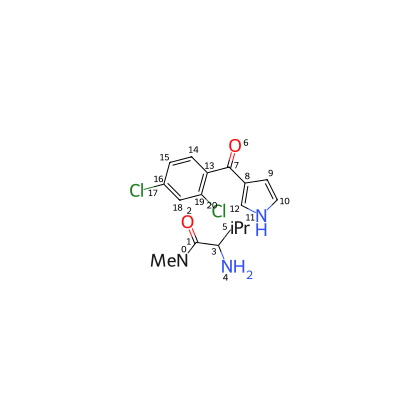 CNC(=O)C(N)C(C)C.O=C(c1cc[nH]c1)c1ccc(Cl)cc1Cl